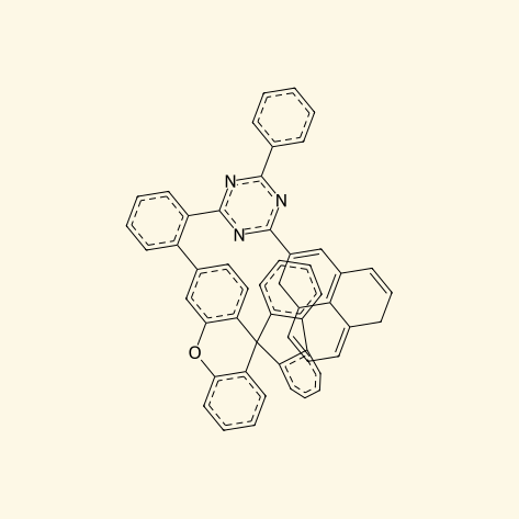 C1=CC2CC(c3nc(-c4ccccc4)nc(-c4ccccc4-c4ccc5c(c4)Oc4ccccc4C54c5ccccc5-c5ccccc54)n3)=CC3=C2C(=C1)CC=C3